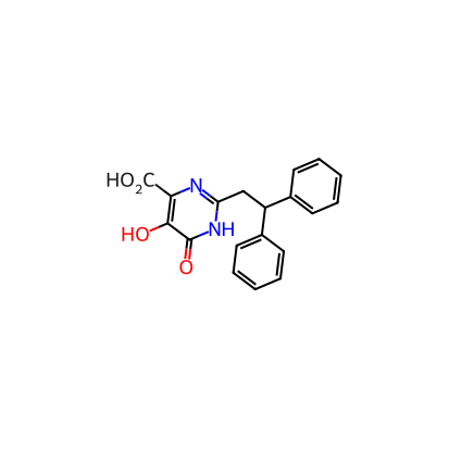 O=C(O)c1nc(CC(c2ccccc2)c2ccccc2)[nH]c(=O)c1O